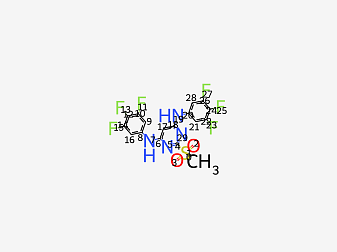 CS(=O)(=O)c1nc(Nc2cc(F)c(F)c(F)c2)cc(Nc2cc(F)c(F)c(F)c2)n1